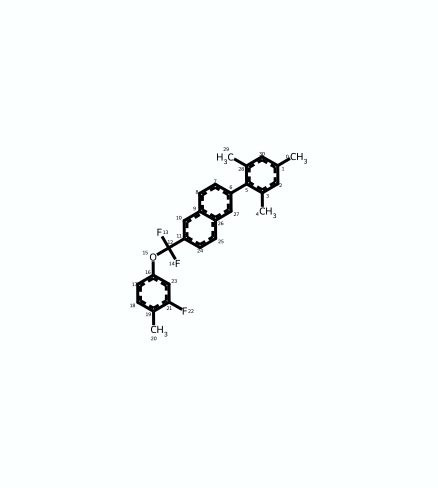 Cc1cc(C)c(-c2ccc3cc(C(F)(F)Oc4ccc(C)c(F)c4)ccc3c2)c(C)c1